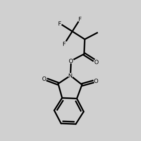 CC(C(=O)ON1C(=O)c2ccccc2C1=O)C(F)(F)F